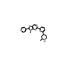 CC1CC(c2cccc(-c3ncc4nc(-c5ccncc5)n(C)c4n3)n2)CCN1